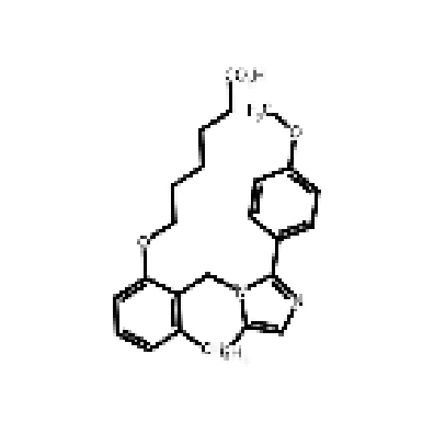 Cc1cccc(OCCCCCC(=O)O)c1Cn1c(C)cnc1-c1ccc(OC(F)(F)F)cc1